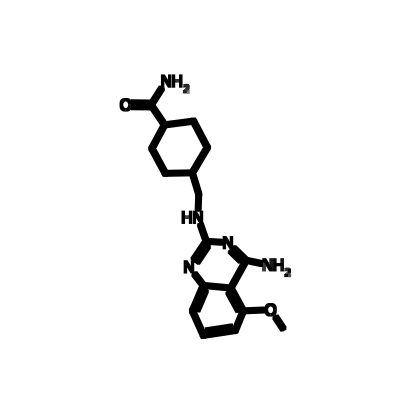 COc1cccc2nc(NCC3CCC(C(N)=O)CC3)nc(N)c12